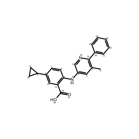 Cc1cc(Nc2ccc(C3CC3)cc2C(=O)O)cnc1-c1ccccc1